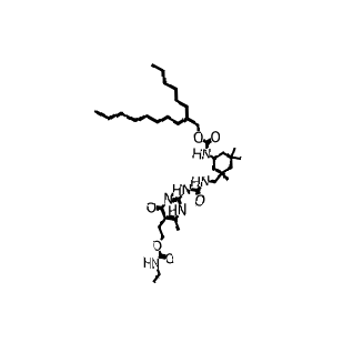 CCCCCCCCC(CCCCCC)COC(=O)NC1CC(C)(C)CC(C)(CNC(=O)Nc2nc(=O)c(CCOC(=O)NCC)c(C)[nH]2)C1